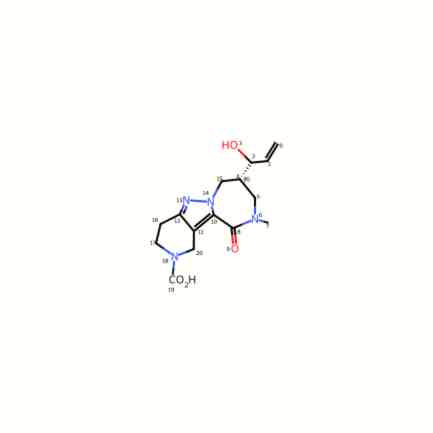 C=CC(O)[C@@H]1CN(C)C(=O)c2c3c(nn2C1)CCN(C(=O)O)C3